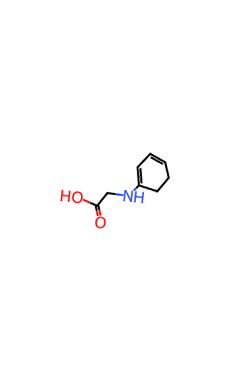 O=C(O)CNC1=CC=CCC1